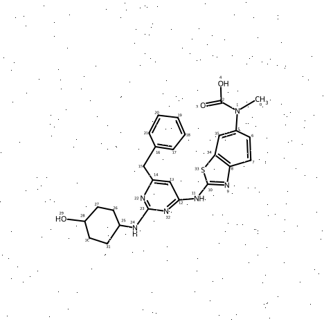 CN(C(=O)O)c1ccc2nc(Nc3cc(Cc4ccccc4)nc(NC4CCC(O)CC4)n3)sc2c1